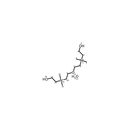 C[N+](C)(CCO)CCOCC[N+](C)(C)CCO.O